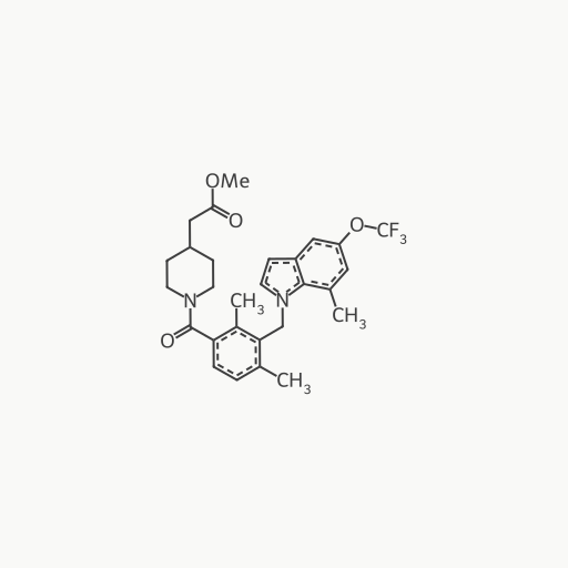 COC(=O)CC1CCN(C(=O)c2ccc(C)c(Cn3ccc4cc(OC(F)(F)F)cc(C)c43)c2C)CC1